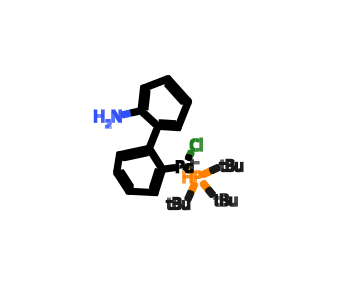 CC(C)(C)[PH]([Pd-]([Cl])[c]1ccccc1-c1ccccc1N)(C(C)(C)C)C(C)(C)C